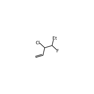 C=CC(Cl)C(F)CC